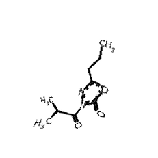 CCCc1nn(C(=O)C(C)C)c(=O)o1